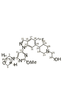 COc1nc(N2C[C@H]3C[C@@H]2CO3)cc(-n2ncc3cc(C)c(C4CCN(CCO)CC4F)cc32)n1